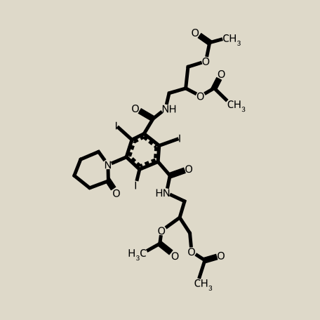 CC(=O)OCC(CNC(=O)c1c(I)c(C(=O)NCC(COC(C)=O)OC(C)=O)c(I)c(N2CCCCC2=O)c1I)OC(C)=O